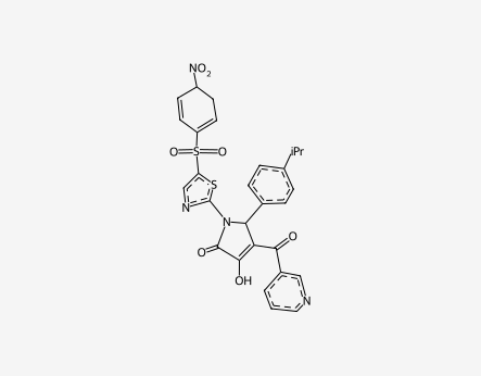 CC(C)c1ccc(C2C(C(=O)c3cccnc3)=C(O)C(=O)N2c2ncc(S(=O)(=O)C3=CCC([N+](=O)[O-])C=C3)s2)cc1